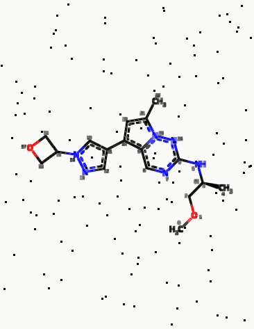 COC[C@H](C)Nc1ncc2c(-c3cnn(C4COC4)c3)cc(C)n2n1